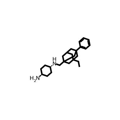 CCC12CC3CC(CN[C@H]4CC[C@H](N)CC4)(C1)CC(c1ccccc1)(C3)C2